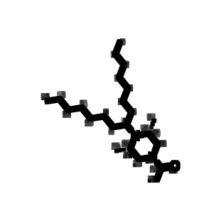 CCCCCCCC(CCCCCCC)N1[C@H](C)CN(C(C)=O)C[C@@H]1C